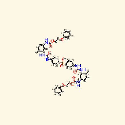 Cc1ccc(NC(=O)OCCOc2ccccc2)cc1NC(=O)Nc1ccc(S(=O)(=O)c2ccc(NC(=O)Nc3cc(NC(=O)OCCOc4ccccc4)ccc3C)cc2)cc1